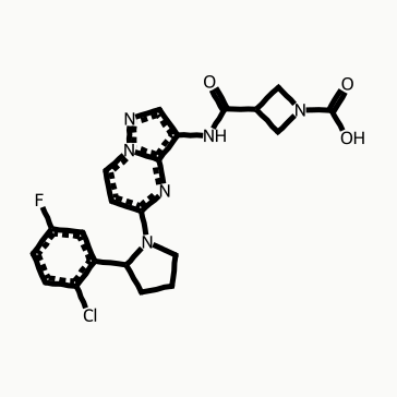 O=C(Nc1cnn2ccc(N3CCCC3c3cc(F)ccc3Cl)nc12)C1CN(C(=O)O)C1